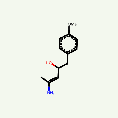 COc1ccc(CC(O)/C=C(\C)N)cc1